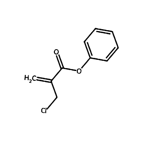 C=C(CCl)C(=O)Oc1ccccc1